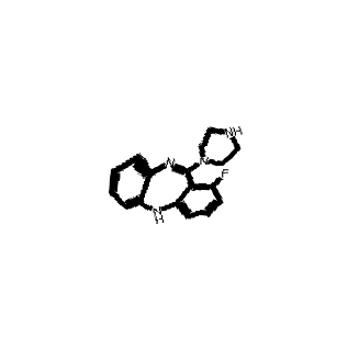 Fc1cccc2c1C(N1CCNCC1)=Nc1ccccc1N2